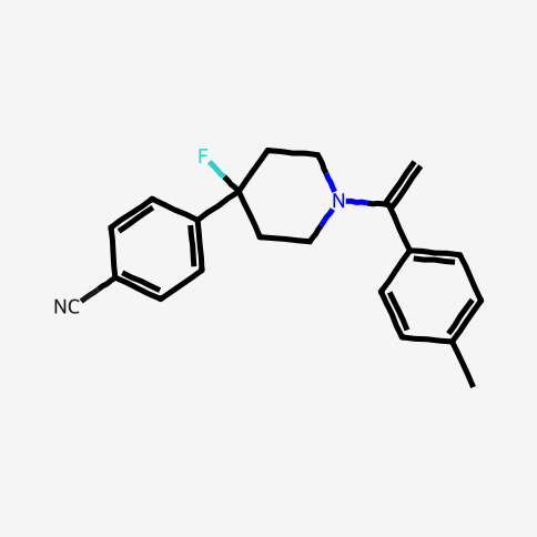 C=C(c1ccc(C)cc1)N1CCC(F)(c2ccc(C#N)cc2)CC1